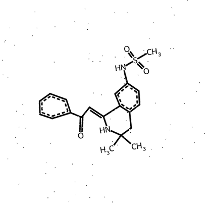 CC1(C)Cc2ccc(NS(C)(=O)=O)cc2C(=CC(=O)c2ccccc2)N1